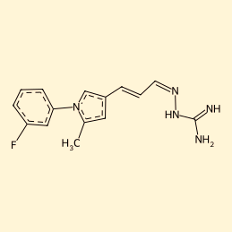 Cc1cc(/C=C/C=N\NC(=N)N)cn1-c1cccc(F)c1